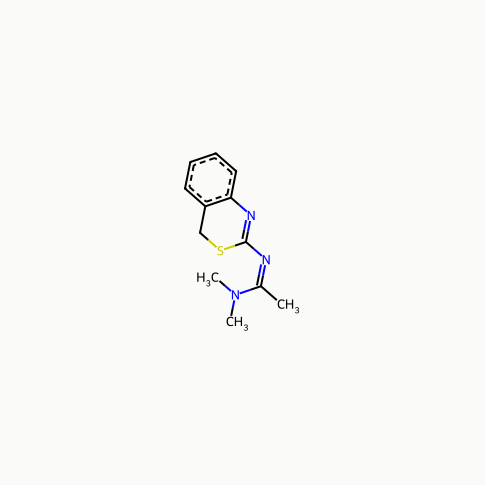 CC(=NC1=Nc2ccccc2CS1)N(C)C